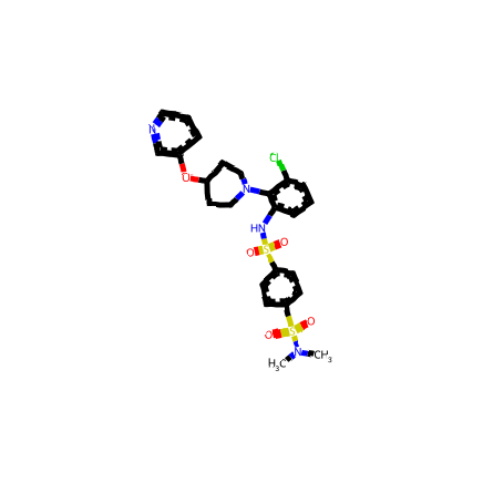 CN(C)S(=O)(=O)c1ccc(S(=O)(=O)Nc2cccc(Cl)c2N2CCC(Oc3cccnc3)CC2)cc1